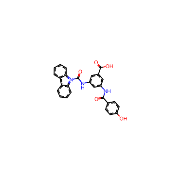 O=C(O)c1cc(NC(=O)c2ccc(O)cc2)cc(NC(=O)n2c3ccccc3c3ccccc32)c1